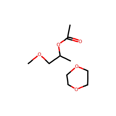 C1COCCO1.COCC(C)OC(C)=O